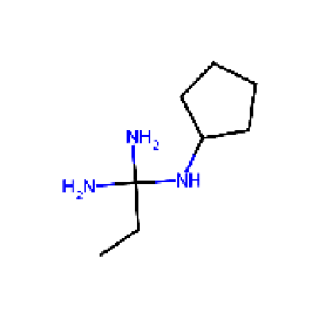 CCC(N)(N)NC1CCCC1